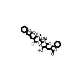 CN1C(=O)C(C=C2CC3(CCCCC3)OC2=O)=C(O)N(C)C1C1(O)N(C)C(=O)C(C=C2CC3(CCCCC3)OC2=O)=C(O)N1C